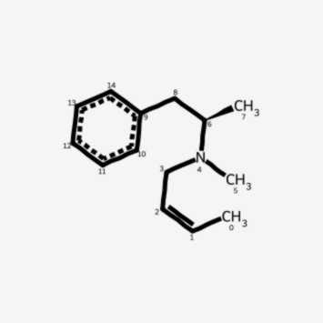 C/C=C\CN(C)[C@H](C)Cc1ccccc1